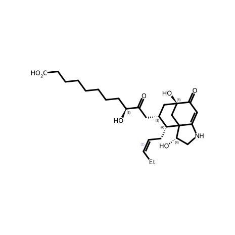 CC/C=C\C[C@@H]1[C@H](CC(=O)[C@@H](O)CCCCCCCC(=O)O)C[C@@]2(O)CC13C(=CC2=O)NC[C@@H]3O